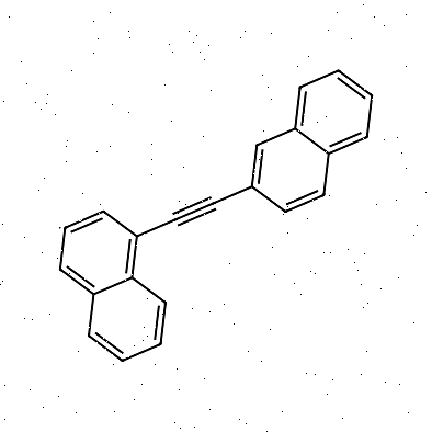 C(#Cc1c[c]cc2ccccc12)c1ccc2ccccc2c1